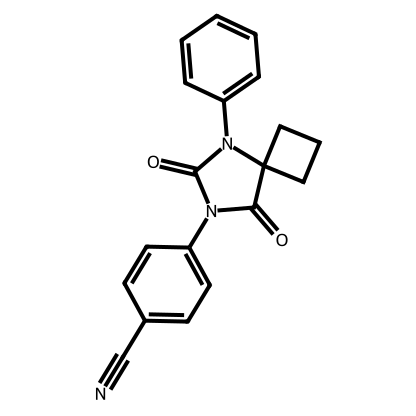 N#Cc1ccc(N2C(=O)N(c3ccccc3)C3(CCC3)C2=O)cc1